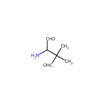 CC(C)([C]=O)C(N)C=O